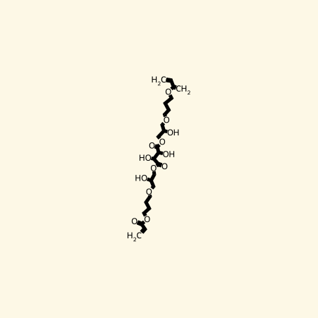 C=CC(=C)OCCCCOCC(O)COC(=O)C(O)C(O)C(=O)OCC(O)COCCCCOC(=O)C=C